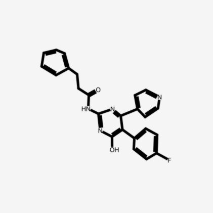 O=C(CCc1ccccc1)Nc1nc(O)c(-c2ccc(F)cc2)c(-c2ccncc2)n1